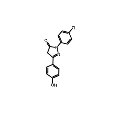 O=C1CC(c2ccc(O)cc2)=NN1c1ccc(Cl)cc1